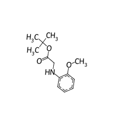 COc1ccccc1NCC(=O)OC(C)(C)C